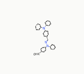 O=Cc1ccc(N(N=Cc2ccc(N(c3ccccc3)c3ccccc3)cc2)c2ccccc2)cc1